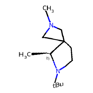 C[C@@H]1N(C(C)(C)C)CCC12CN(C)C2